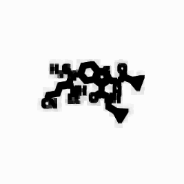 CCNC(=CCCC#N)N(C)[C@H]1CCc2sc(NC(=O)C3CC3)c(C(=O)NCC3CC3)c2C1